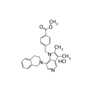 COC(=O)c1ccc(Cn2c(C)c(C)c3cncc(N4CCc5ccccc5C4)c32)cc1.Cl